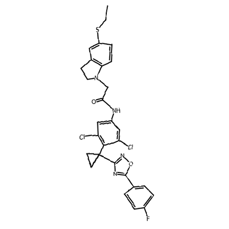 CCSc1ccc2c(c1)CCN2CC(=O)Nc1cc(Cl)c(C2(c3noc(-c4ccc(F)cc4)n3)CC2)c(Cl)c1